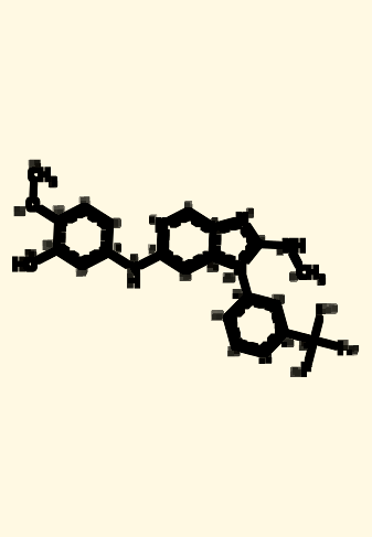 CNc1nc2cnc(Nc3ccc(OC)c(O)c3)cc2n1-c1cccc(C(F)(F)F)c1